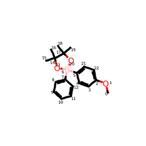 COc1ccc([B-]2(c3ccccc3)OC(C)(C)C(C)(C)O2)cc1